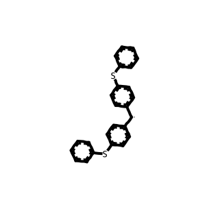 [CH](c1ccc(Sc2ccccc2)cc1)c1ccc(Sc2ccccc2)cc1